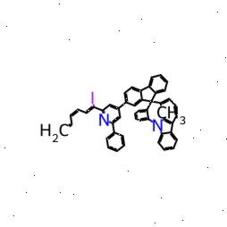 C=C/C=C\C=C(/I)c1cc(-c2ccc3c(c2)C2(/C(C)=C/C=C\c4cn(c5ccccc45)-c4ccccc42)c2ccccc2-3)cc(-c2ccccc2)n1